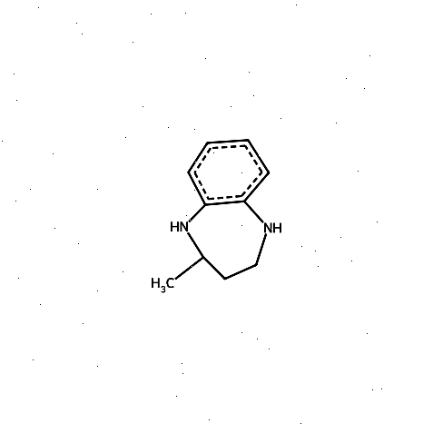 CC1CCNc2ccccc2N1